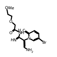 C=C1C=CC(Br)=CN1/C(=C\N)C(=N)NC(=O)COCCOC